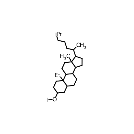 CCC12CCC(OI)CC1CCC1C3CCC(C(C)CCCC(C)C)C3(C)CCC12